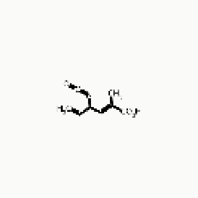 C=CC(C=C(C)C(=O)O)N=C=O